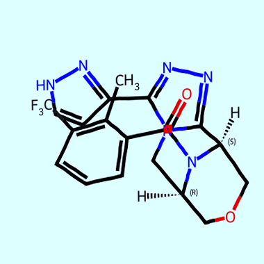 Cc1c(C(=O)N2[C@H]3COC[C@@H]2c2nnc(-c4cc[nH]n4)n2C3)cccc1C(F)(F)F